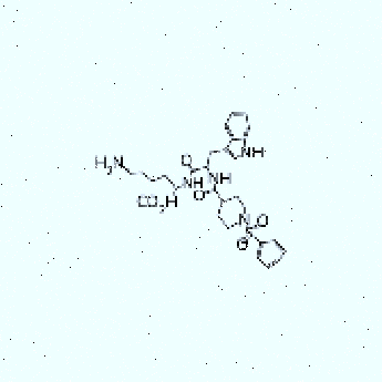 NCCCCC(NC(=O)C(Cc1c[nH]c2ccccc12)NC(=O)C1CCN(S(=O)(=O)c2ccccc2)CC1)C(=O)O